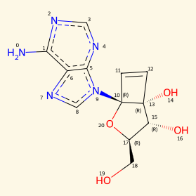 Nc1ncnc2c1ncn2[C@@]12C=C[C@@]1(O)[C@H](O)[C@@H](CO)O2